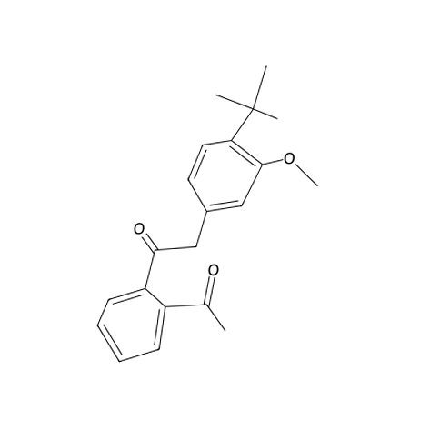 COc1cc(CC(=O)c2ccccc2C(C)=O)ccc1C(C)(C)C